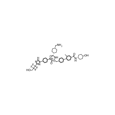 Cc1cc(C(=O)N[C@H]2CC[C@H](O)CC2)ccc1-c1ccc(C[C@H](NC(=O)[C@H]2CC[C@H](CN)CC2)C(=O)Nc2ccc(-c3nc(C(F)(F)C(F)(F)CO)n[nH]3)cc2)cc1